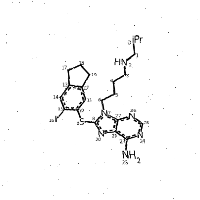 CC(C)CNCCCCn1c(Sc2cc3c(cc2I)CCC3)nc2c(N)ncnc21